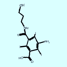 Nc1c(I)c(C(=O)O)c(I)c(C(=O)NCCCO)c1I